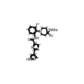 CNC1(C(C)=O)CCN(c2c(F)cccc2NC(=O)c2csc(-c3cn[nH]c3)n2)CC1